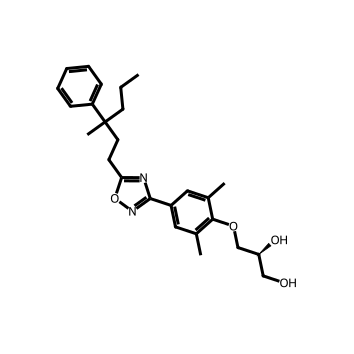 CCCC(C)(CCc1nc(-c2cc(C)c(OC[C@@H](O)CO)c(C)c2)no1)c1ccccc1